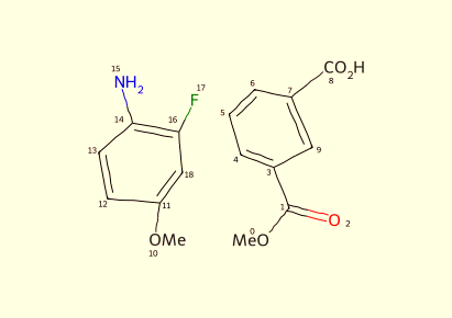 COC(=O)c1cccc(C(=O)O)c1.COc1ccc(N)c(F)c1